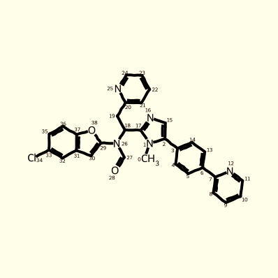 Cn1c(-c2ccc(-c3ccccn3)cc2)cnc1C(Cc1ccccn1)N(C=O)c1cc2cc(Cl)ccc2o1